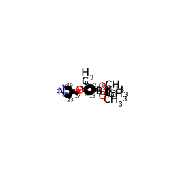 Cc1cc(B2OC(C)(C)C(C)(C)O2)ccc1OCc1ccncc1